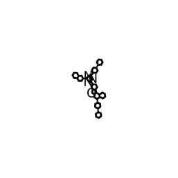 c1ccc(-c2ccc(-c3nc(-c4ccc5ccccc5c4)nc(-c4ccc5c(c4)oc4cc(-c6ccc(-c7ccccc7)cc6)c6ccccc6c45)n3)cc2)cc1